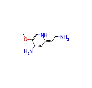 COC1=CN/C(=C\CN)C=C1N